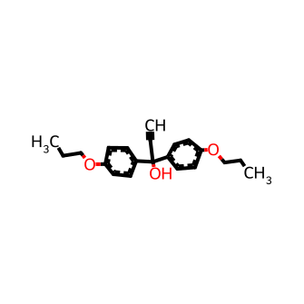 C#CC(O)(c1ccc(OCCC)cc1)c1ccc(OCCC)cc1